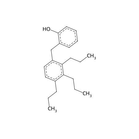 CCCc1ccc(Cc2ccccc2O)c(CCC)c1CCC